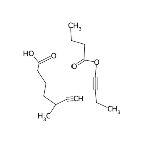 C#CC(C)CCCC(=O)O.CCC#COC(=O)CCC